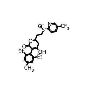 CCc1cc(C)cc(CC)c1C1=C(O)CC(CC[S+]([O-])c2ccc(C(F)(F)F)cn2)OC1=O